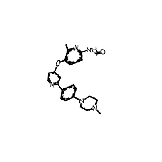 Cc1nc(N[C]=O)ccc1Oc1ccnc(-c2ccc(N3CCN(C)CC3)cc2)c1